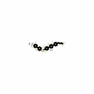 FC(F)=CCCc1ccc(-c2cc(F)c(-c3cc(F)c(C(F)(F)Oc4ccc(-c5cc(F)c(C(F)(F)F)c(F)c5)c(F)c4)c(F)c3)c(Cl)c2)c(F)c1